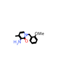 COc1ccccc1Cn1ccc(C)c(N)c1=O